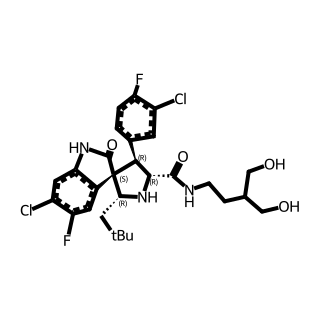 CC(C)(C)C[C@H]1N[C@@H](C(=O)NCCC(CO)CO)[C@H](c2ccc(F)c(Cl)c2)[C@@]12C(=O)Nc1cc(Cl)c(F)cc12